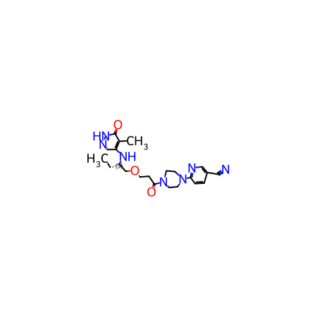 CC[C@@H](COCCC(=O)N1CCN(c2ccc(C#N)cn2)CC1)Nc1cn[nH]c(=O)c1C